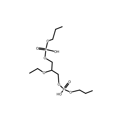 CCCOP(=O)(O)OCC(COP(=O)(O)OCCC)OCC